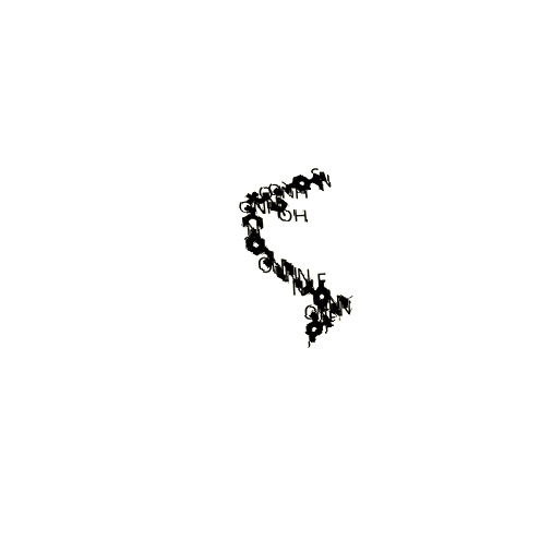 Cc1ncsc1-c1ccc([C@H](C)NC(=O)[C@@H]2C[C@@H](O)CN2C(=O)[C@@H](NC(=O)C2CCN(c3cccc(CC(=O)N4CCN(c5ncc(-c6cc(NC(=O)c7ccc(F)cc7C(F)(F)F)c(N7C[C@@H](C)N(C)[C@@H](C)C7)cc6F)cn5)CC4)c3)CC2)C(C)(C)C)cc1